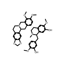 COc1ccc(CC2c3cc(O)c(OC)cc3CCN2C)cc1O.COc1ccc2c(c1OC)CN1CCc3cc4c(cc3C1C2)OCO4